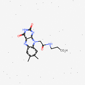 Cc1cc2nc3c(=O)[nH]c(=O)nc-3n(CC(=O)NCCC(=O)O)c2cc1C